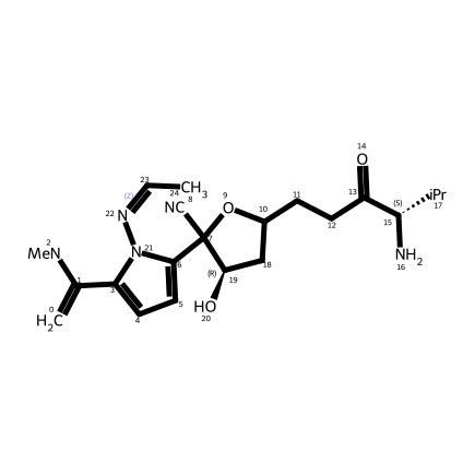 C=C(NC)c1ccc(C2(C#N)OC(CCC(=O)[C@@H](N)C(C)C)C[C@H]2O)n1/N=C\C